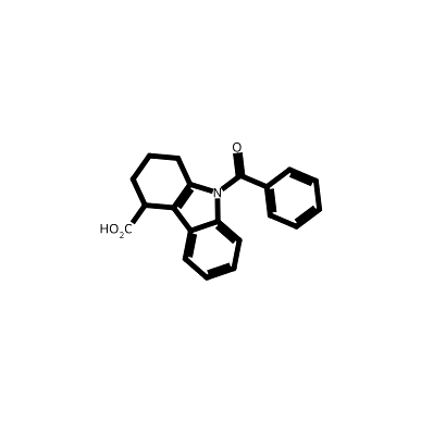 O=C(O)C1CCCc2c1c1ccccc1n2C(=O)c1ccccc1